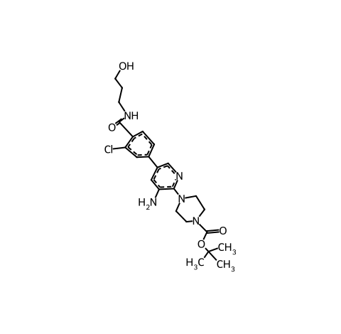 CC(C)(C)OC(=O)N1CCN(c2ncc(-c3ccc(C(=O)NCCCO)c(Cl)c3)cc2N)CC1